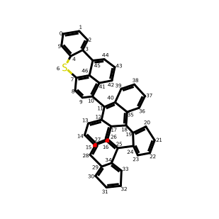 c1ccc2c(c1)Sc1ccc(-c3c4ccccc4c(-c4ccccc4-c4cccc5ccccc45)c4ccccc34)c3cccc-2c13